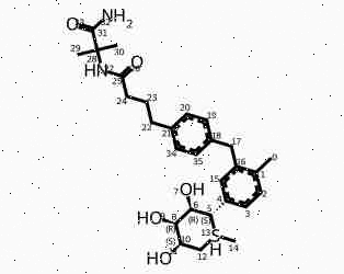 Cc1ccc([C@H]2[C@H](O)[C@H](O)[C@H](O)C[SH]2C)cc1Cc1ccc(CCCC(=O)NC(C)(C)C(N)=O)cc1